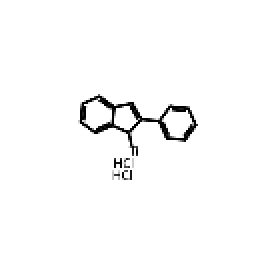 Cl.Cl.[Ti][CH]1C(c2ccccc2)=Cc2ccccc21